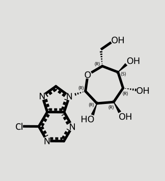 OC[C@H]1O[C@@H](n2cnc3c(Cl)ncnc32)[C@H](O)[C@H](O)[C@@H](O)[C@@H]1O